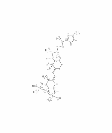 C=C1/C(=C\C=C2/CCC[C@]3(C)[C@@H]([C@H](C)CCCC(O)c4nc(C)cs4)CC[C@@H]23)C[C@@H](O[Si](C)(C)C(C)(C)C)C[C@@H]1O[Si](C)(C)C(C)(C)C